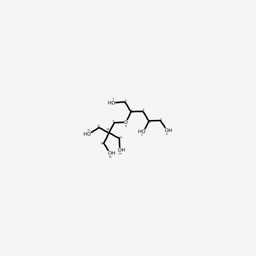 OCC(O)CC(CO)OCC(CO)(CO)CO